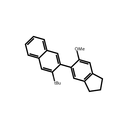 COc1cc2c(cc1-c1cc3ccccc3cc1C(C)(C)C)CCC2